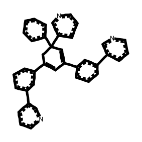 C1=C(c2cccc(-c3cccnc3)c2)C=C(c2cccc(-c3cccnc3)c2)CC1(c1ccccc1)c1cccnc1